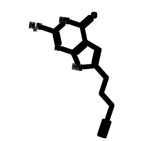 C#CCCCc1cc2c(=O)[nH]c(N)nc2[nH]1